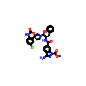 COC(=O)n1nc(N)c2ccc(C(=O)N[C@@H](Cc3ccccc3)C(O)N3CC[C@@]4(C3)OC(=O)Nc3ccc(Cl)cc34)cc21